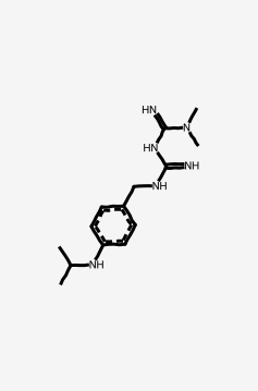 CC(C)Nc1ccc(CNC(=N)NC(=N)N(C)C)cc1